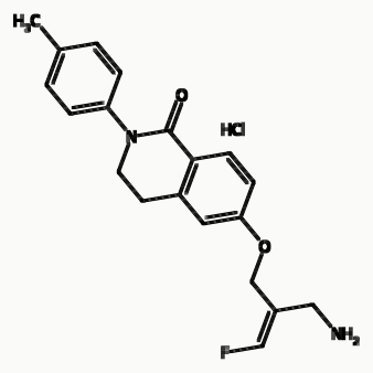 Cc1ccc(N2CCc3cc(OC/C(=C\F)CN)ccc3C2=O)cc1.Cl